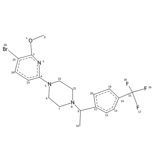 COc1nc(N2CCN(C(C)c3ccc(C(F)(F)F)cc3)CC2)ccc1Br